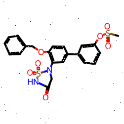 CS(=O)(=O)Oc1cccc(-c2ccc(OCc3ccccc3)c(N3CC(=O)NS3(=O)=O)c2)c1